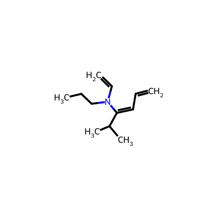 C=C/C=C(/C(C)C)N(C=C)CCC